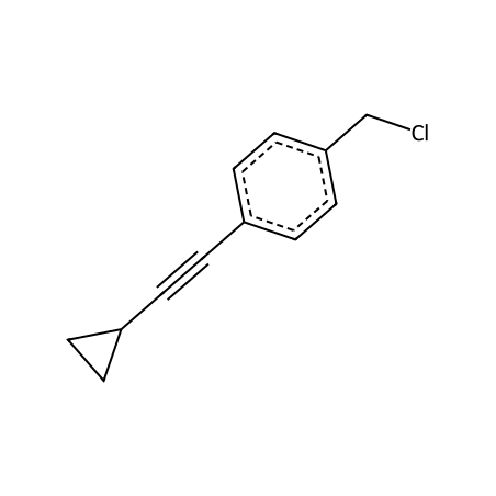 ClCc1ccc(C#CC2CC2)cc1